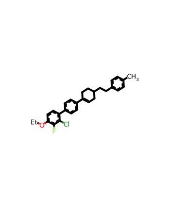 CCOc1ccc(-c2ccc(C3=CCC(CCc4ccc(C)cc4)CC3)cc2)c(Cl)c1F